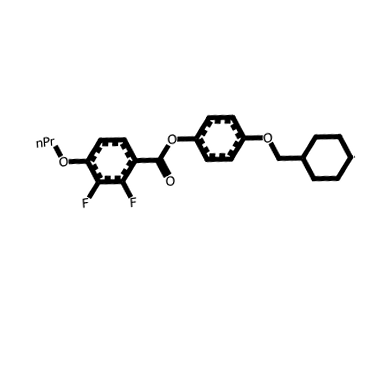 CCCOc1ccc(C(=O)Oc2ccc(OCC3CC[CH]CC3)cc2)c(F)c1F